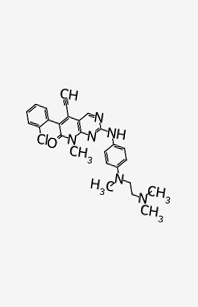 C#Cc1c(-c2ccccc2Cl)c(=O)n(C)c2nc(Nc3ccc(N(C)CCN(C)C)cc3)ncc12